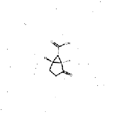 C[C@]12C(=O)CC[C@@H]1[C@@H]2C(=O)O